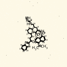 CN(C)c1cccc2c(S(=O)(=O)NC(CCCNC=NN)C(=O)N3CCCCC3CCC(=O)c3nc4ccccc4s3)cccc12